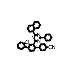 N#Cc1ccc(-c2ccc3c(oc4ccccc43)c2-c2nc(-c3ccccc3)nc(-c3cccc4ccccc34)n2)cc1